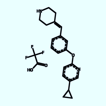 C(=C1CCNCC1)c1cccc(Oc2ccc(C3CC3)cn2)c1.O=C(O)C(F)(F)F